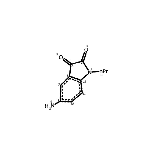 CCCN1C(=O)C(=O)c2cc(N)ccc21